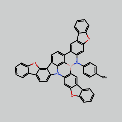 CC(C)(C)c1ccc(N2B3c4cc5c(cc4-n4c6ccc7c8ccccc8oc7c6c6ccc(c3c64)-c3cc4c(cc32)oc2ccccc24)oc2ccccc25)cc1